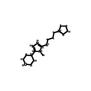 Cn1c(SCCCN2CCCC2)nnc1C1CCOCC1